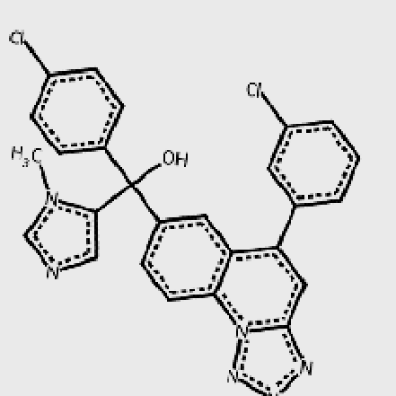 Cn1cncc1C(O)(c1ccc(Cl)cc1)c1ccc2c(c1)c(-c1cccc(Cl)c1)cc1nnnn12